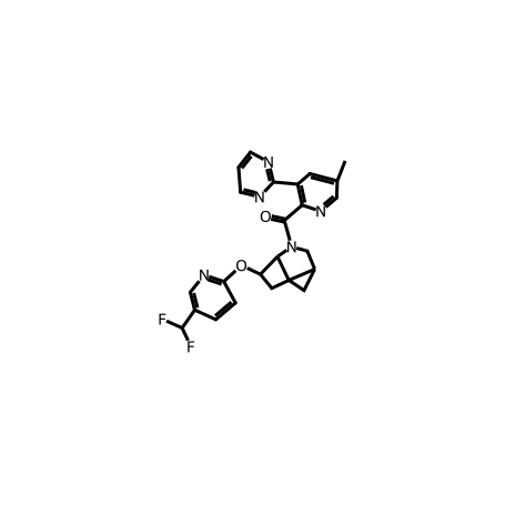 Cc1cnc(C(=O)N2CC3CC34CC(Oc3ccc(C(F)F)cn3)C24)c(-c2ncccn2)c1